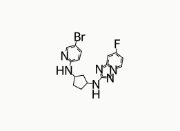 Fc1ccn2nc(NC3CCC(Nc4ccc(Br)cn4)C3)nc2c1